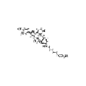 CCOC(=O)CCCCCCNc1ccc(CCN2C(=O)COC2c2cn(-c3ccc(Cl)c(F)c3)nc2-c2ccc(F)cc2)cc1